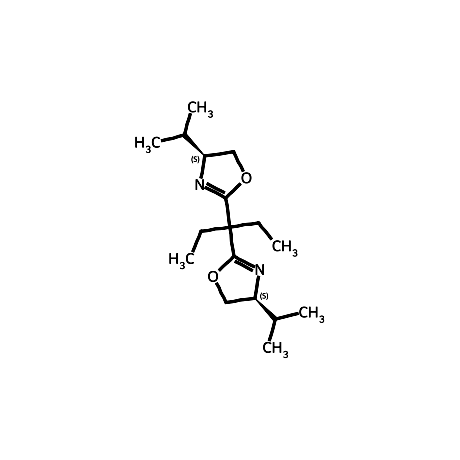 CCC(CC)(C1=N[C@@H](C(C)C)CO1)C1=N[C@@H](C(C)C)CO1